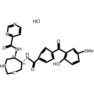 CSc1ccc(O)c(C(=O)c2ccc(C(=O)N[C@@H]3CCCNC[C@H]3NC(=O)c3ccncn3)cc2)c1.Cl